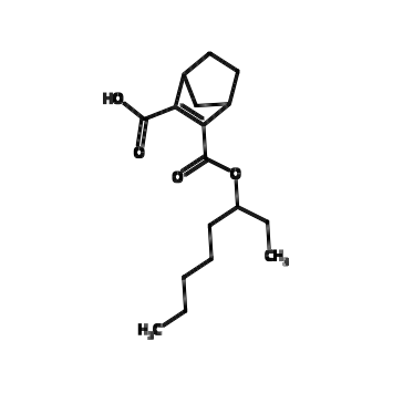 CCCCCC(CC)OC(=O)C1=C(C(=O)O)C2CCC1C2